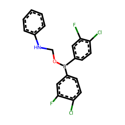 Fc1cc(B(OCNc2ccccc2)c2ccc(Cl)c(F)c2)ccc1Cl